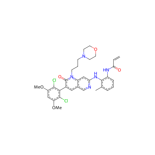 C=CC(=O)Nc1cccc(C)c1Nc1cc2c(cn1)cc(-c1c(Cl)c(OC)cc(OC)c1Cl)c(=O)n2CCCN1CCOCC1